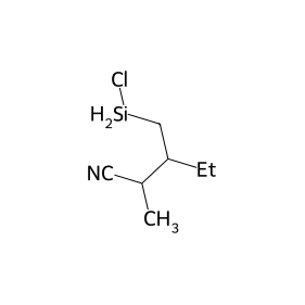 CCC(C[SiH2]Cl)C(C)C#N